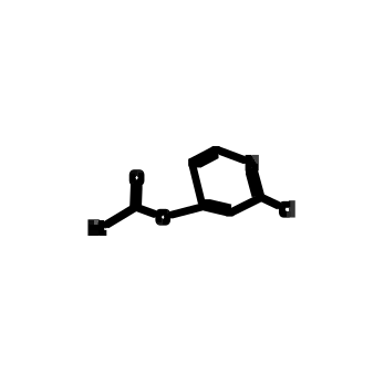 CCC(=O)Oc1ccnc(Cl)c1